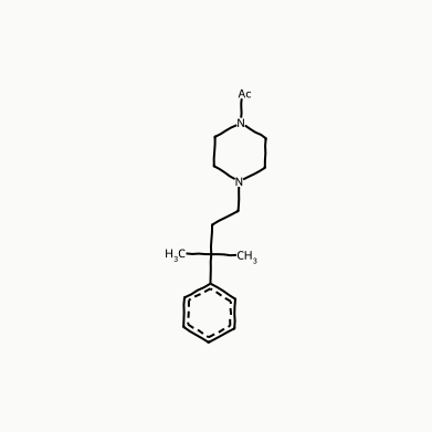 CC(=O)N1CCN(CCC(C)(C)c2ccccc2)CC1